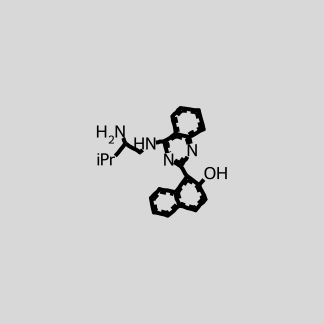 CC(C)C(N)CNc1nc(-c2c(O)ccc3ccccc23)nc2ccccc12